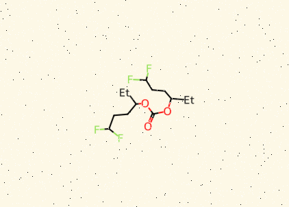 CCC(CCC(F)F)OC(=O)OC(CC)CCC(F)F